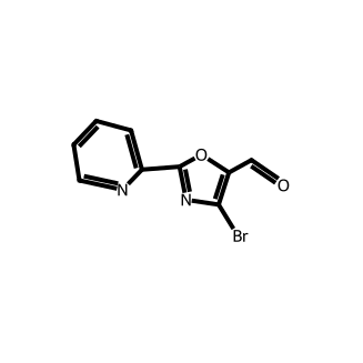 O=Cc1oc(-c2ccccn2)nc1Br